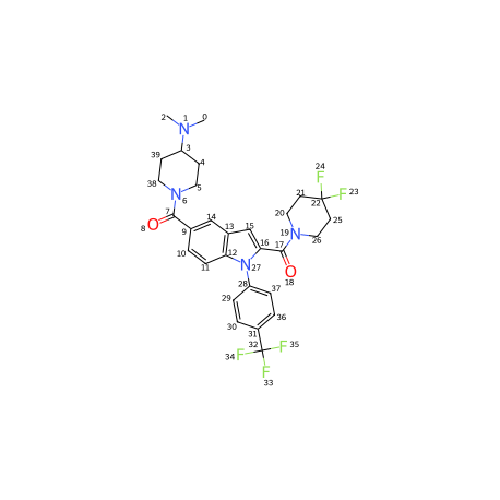 CN(C)C1CCN(C(=O)c2ccc3c(c2)cc(C(=O)N2CCC(F)(F)CC2)n3-c2ccc(C(F)(F)F)cc2)CC1